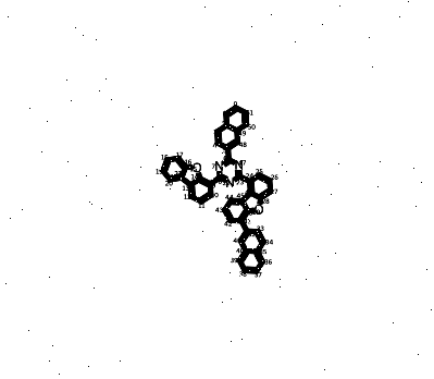 C1=CC2C=CC(c3nc(-c4cccc5c4oc4ccccc45)nc(-c4cccc5oc6c(-c7ccc8ccccc8c7)cccc6c45)n3)=CC2C=C1